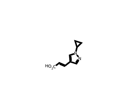 O=C(O)/C=C/c1cnn(C2CC2)c1